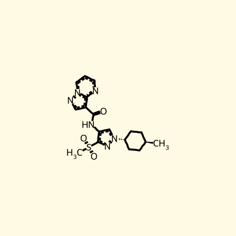 CS(=O)(=O)c1nn([C@H]2CC[C@H](C)CC2)cc1NC(=O)c1cnn2cccnc12